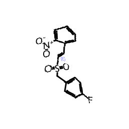 O=[N+]([O-])c1ccccc1/C=C/S(=O)(=O)Cc1ccc(F)cc1